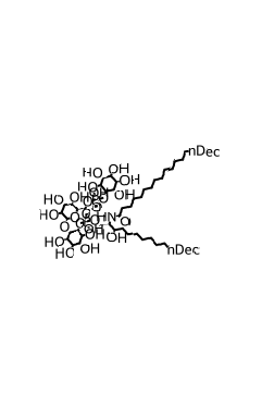 CCCCCCCCCCCCCCCCCCCCCCCC(=O)N[C@@H](COP(=O)(O)O[C@H]1C(O)C(O)C(O)[C@@H](O)C1O[C@H]1O[C@H](COP(=O)(O)OC2C(O)C(O)C(O)[C@@H](O)C2O)[C@@H](O)C(O)C1O)[C@H](O)CCCCCCCCCCCCCCCCC